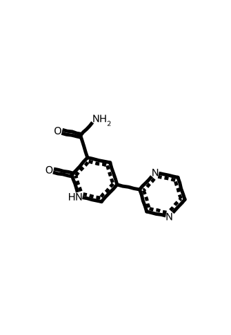 NC(=O)c1cc(-c2cnccn2)c[nH]c1=O